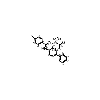 Cc1ccc(C(=O)Nc2cnc(-c3ccccc3)n(CC(=O)OC(C)(C)C)c2=O)cc1